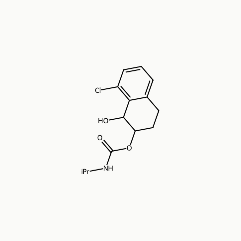 CC(C)NC(=O)OC1CCc2cccc(Cl)c2C1O